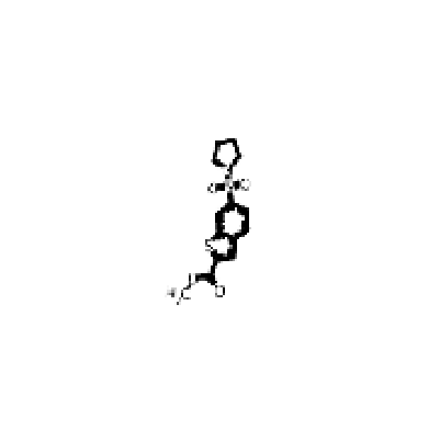 COC(=O)c1cc2ccc(S(=O)(=O)N3CCCC3)cc2s1